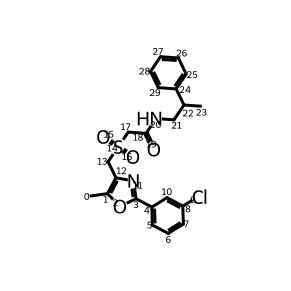 Cc1oc(-c2cccc(Cl)c2)nc1CS(=O)(=O)CC(=O)NCC(C)c1ccccc1